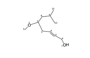 COC(CC=CCO)CC(C)C